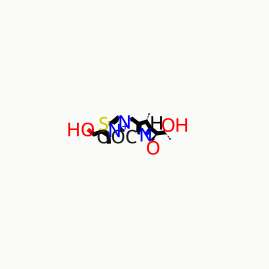 Cc1c(CO)sc2cn(CC3=C(C(=O)[O-])N4C(=O)[C@H]([C@@H](C)O)[C@H]4[C@H]3C)c[n+]12